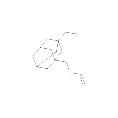 C=COCC12CC3CC(CC(CO)(C3)C1)C2